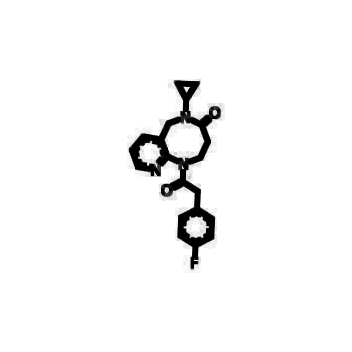 O=C(Cc1ccc(F)cc1)N1CCC(=O)N(C2CC2)Cc2cccnc21